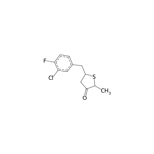 CC1SC(Cc2ccc(F)c(Cl)c2)CC1=O